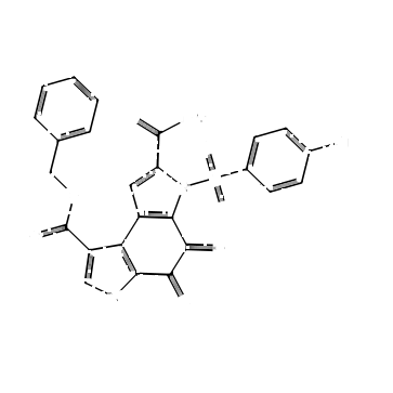 COC(=O)c1cc2c(n1S(=O)(=O)c1ccc(C)cc1)C(=O)C(=O)c1[nH]cc(C(=O)OCc3ccccc3)c1-2